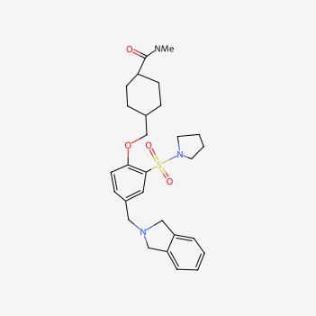 CNC(=O)C1CCC(COc2ccc(CN3Cc4ccccc4C3)cc2S(=O)(=O)N2CCCC2)CC1